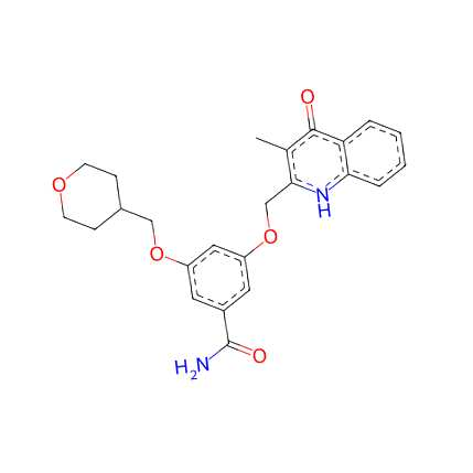 Cc1c(COc2cc(OCC3CCOCC3)cc(C(N)=O)c2)[nH]c2ccccc2c1=O